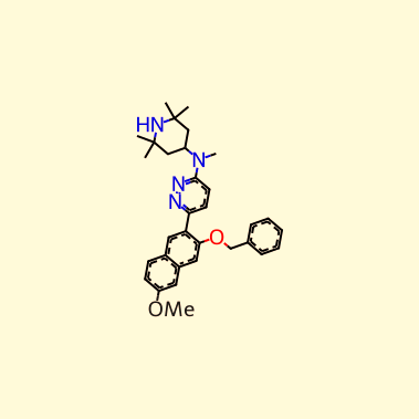 COc1ccc2cc(-c3ccc(N(C)C4CC(C)(C)NC(C)(C)C4)nn3)c(OCc3ccccc3)cc2c1